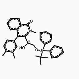 Cc1ccc(-c2c([C@H](O)CO[Si](c3ccccc3)(c3ccccc3)C(C)(C)C)n(C)c(=O)c3ccccc23)cc1C